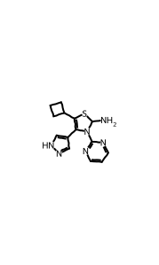 NC1SC(C2CCC2)=C(c2cn[nH]c2)N1c1ncccn1